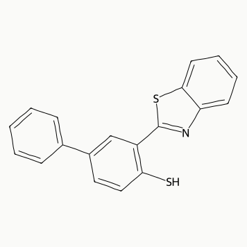 Sc1ccc(-c2ccccc2)cc1-c1nc2ccccc2s1